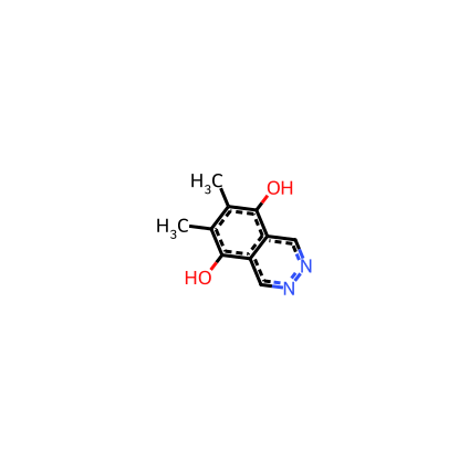 Cc1c(C)c(O)c2cnncc2c1O